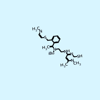 C=N/C=C\SCc1ccccc1C(=C)N(CCNC(/C=C(/C)N=C)=N/CS)C(C)CC